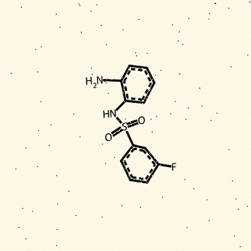 Nc1ccccc1NS(=O)(=O)c1cccc(F)c1